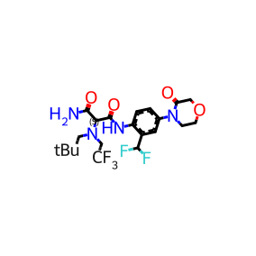 CC(C)(C)CN(CC(F)(F)F)[C@@H](C(N)=O)C(=O)Nc1ccc(N2CCOCC2=O)cc1C(F)F